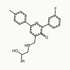 Cc1ccc(-c2cc(CNCC(O)C(C)C)c(=O)n(-c3cccc(F)c3)n2)cc1